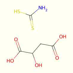 NC(=S)S.O=C(O)CC(O)C(=O)O